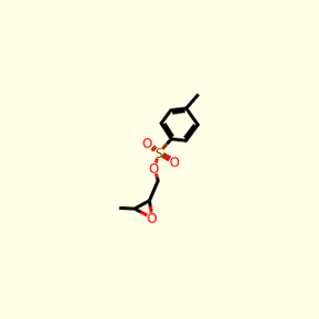 Cc1ccc(S(=O)(=O)OCC2OC2C)cc1